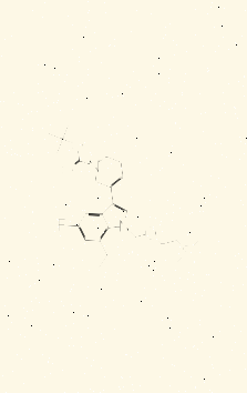 CCc1cc(F)cc2c(C3=CCCN(C(=O)OC(C)(C)C)C3)cn(COCC[Si](C)(C)C)c12